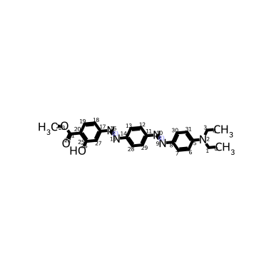 CCN(CC)c1ccc(/N=N/c2ccc(/N=N/c3ccc(C(=O)OC)c(O)c3)cc2)cc1